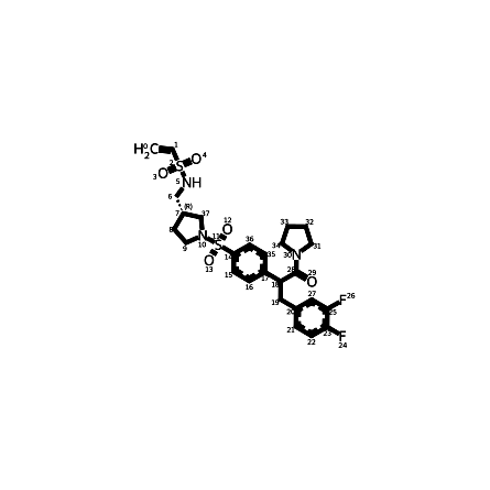 C=CS(=O)(=O)NC[C@H]1CCN(S(=O)(=O)c2ccc(C(Cc3ccc(F)c(F)c3)C(=O)N3CCCC3)cc2)C1